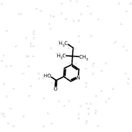 CCC(C)(C)c1cncc(C(=O)O)c1